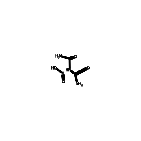 NC(=O)NC(N)=O.O=NO